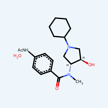 CC(=O)Nc1ccc(C(=O)N(C)[C@@H]2CN(C3CCCCC3)C[C@H]2O)cc1.O